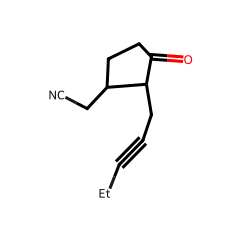 CCC#CCC1C(=O)CCC1CC#N